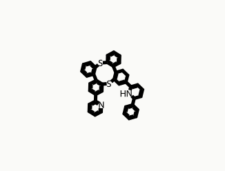 C1=CC(c2ccccc2)NC(C2=CC3=C(CC2)c2ccccc2Sc2ccccc2-c2ccc(-c4ccccn4)cc2S3)=C1